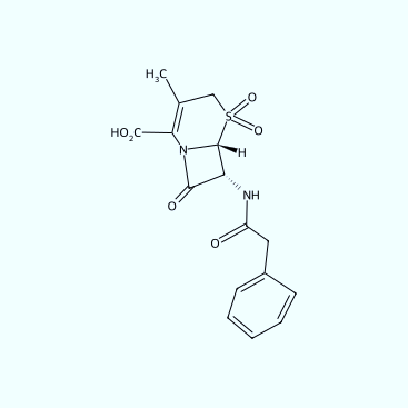 CC1=C(C(=O)O)N2C(=O)[C@@H](NC(=O)Cc3ccccc3)[C@H]2S(=O)(=O)C1